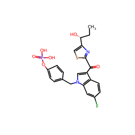 CC[C@@H](O)c1csc(C(=O)c2cn(Cc3ccc(OP(=O)(O)O)cc3)c3cc(F)ccc23)n1